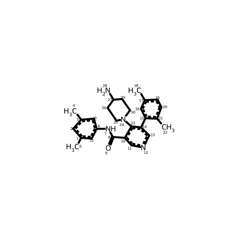 Cc1cc(C)cc(NC(=O)c2cncc(-c3cc(C)ccc3C)c2N2CCC(N)CC2)c1